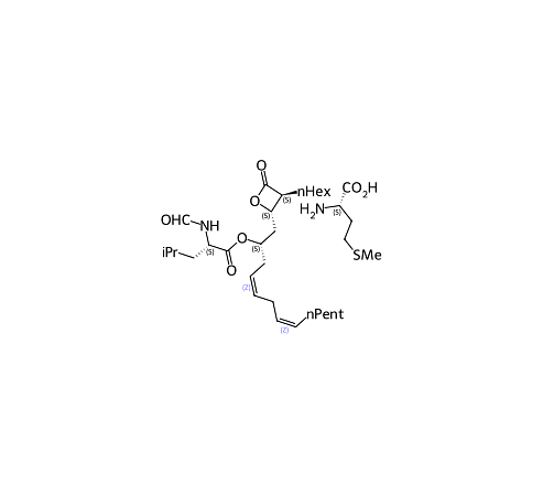 CCCCC/C=C\C/C=C\C[C@@H](C[C@@H]1OC(=O)[C@H]1CCCCCC)OC(=O)[C@H](CC(C)C)NC=O.CSCC[C@H](N)C(=O)O